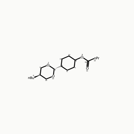 CCCC[C@H]1CO[C@H](C2CCC(OC(=O)CCC)CC2)OC1